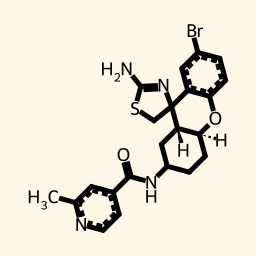 Cc1cc(C(=O)NC2CC[C@@H]3Oc4ccc(Br)cc4C4(CSC(N)=N4)[C@H]3C2)ccn1